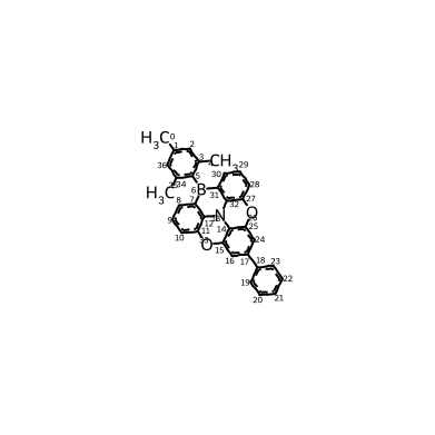 Cc1cc(C)c(B2c3cccc4c3N3c5c(cc(-c6ccccc6)cc5Oc5cccc2c53)O4)c(C)c1